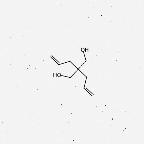 C=CCC(CO)(CO)CC=C